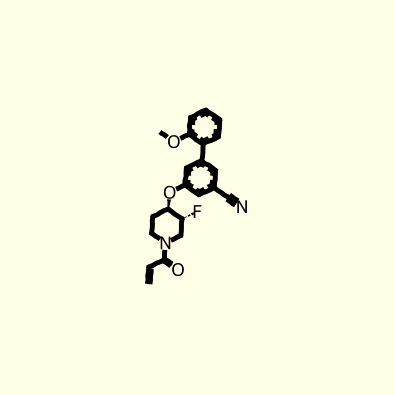 C=CC(=O)N1CC[C@@H](Oc2cc(C#N)cc(-c3ccccc3OC)c2)[C@H](F)C1